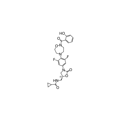 O=C(NC[C@H]1CN(c2cc(F)c(N3CCON(C(=O)c4ccccc4O)CC3)c(F)c2)C(=O)O1)C1CC1